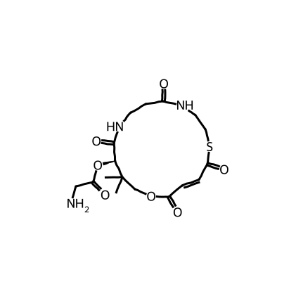 CC1(C)COC(=O)/C=C/C(=O)SCCNC(=O)CCNC(=O)[C@@H]1OC(=O)CN